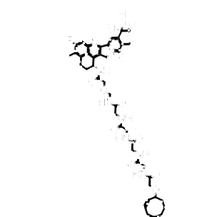 CC[C@@]1(O)C(=O)OCc2c1cc1n(c2=O)Cc2c-1nc1cc(F)c(C)c3c1c2[C@@H](NC(=O)COCNC(=O)CNC(=O)CNC(=O)CNC(=O)CNC(=O)COC1C#CCCCCC1)CC3